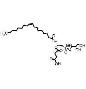 CCCCCCCC/C=C\CCCCCCCC(=O)OC[C@H](COP(=O)(O)OC[C@@H](O)CO)OC(=O)CCC(=O)O